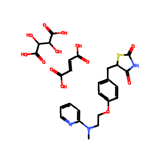 CN(CCOc1ccc(CC2SC(=O)NC2=O)cc1)c1ccccn1.O=C(O)C(O)C(O)C(=O)O.O=C(O)C=CC(=O)O